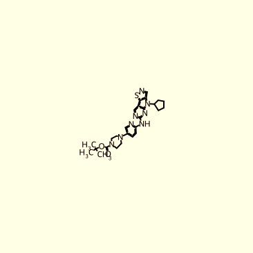 CC(C)(C)OC(=O)N1CCN(c2ccc(Nc3ncc4c5sncc5n(C5CCCC5)c4n3)nc2)CC1